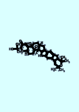 CC1(C)C=C2c3cc4[nH]c5c(c4cc3CC2C(C)(C)O1)C[C@@H]1CC[C@@]2(O)C3=CC(=O)[C@@H](C(C)(C)O)O[C@H]3CC[C@]2(C)[C@@]51C